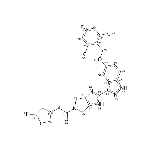 O=C(CN1CCC(F)C1)N1Cc2nc(-c3n[nH]c4ccc(OCc5c(Cl)cncc5Cl)cc34)[nH]c2C1